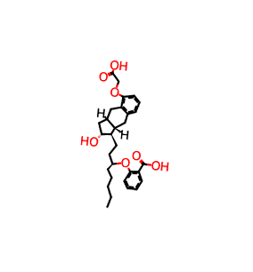 CCCCC[C@@H](CC[C@@H]1[C@H]2Cc3cccc(OCC(=O)O)c3C[C@H]2C[C@H]1O)Oc1ccccc1C(=O)O